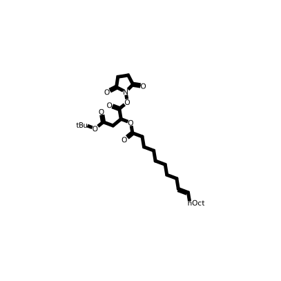 CCCCCCCCC=CCCCCCCCC(=O)OC(CC(=O)OC(C)(C)C)C(=O)ON1C(=O)CCC1=O